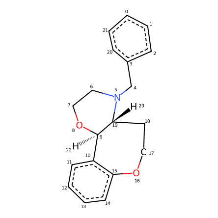 c1ccc(CN2CCO[C@@H]3c4ccccc4OCC[C@H]32)cc1